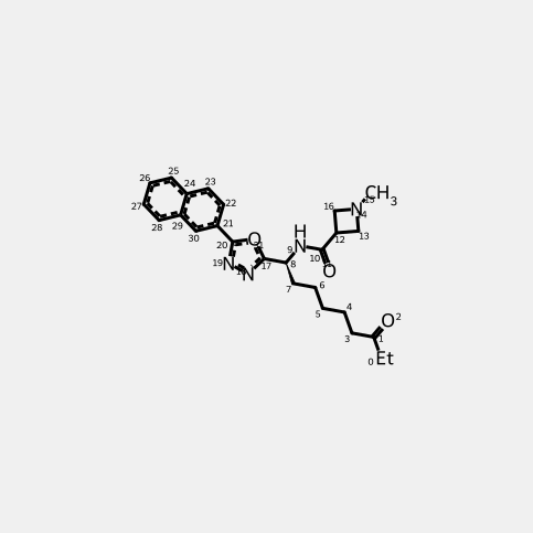 CCC(=O)CCCCC[C@H](NC(=O)C1CN(C)C1)c1nnc(-c2ccc3ccccc3c2)o1